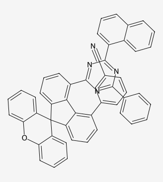 N#Cc1cccc(-c2cccc3c2-c2c(-c4nc(-c5ccccc5)nc(-c5cccc6ccccc56)n4)cccc2C32c3ccccc3Oc3ccccc32)c1